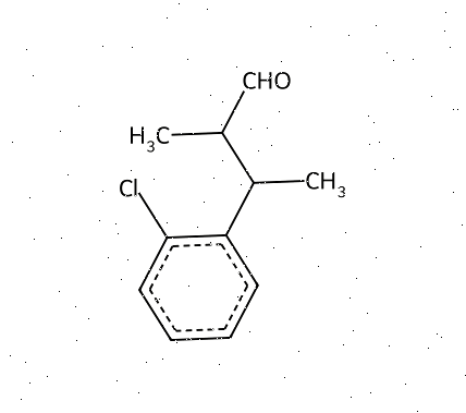 CC(C=O)C(C)c1ccccc1Cl